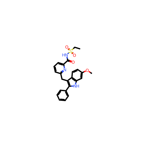 CCS(=O)(=O)NC(=O)c1cccc(Cc2c(-c3ccccc3)[nH]c3cc(OC)ccc23)n1